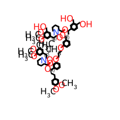 CC[C@H](C(=O)N1CCCCC1C(=O)O[C@H](CCc1ccc(OC)c(OC)c1)c1cccc(OCCCOc2cccc([C@@H](CCc3ccc(CO)c(CO)c3)OC(=O)C3CCCCN3C(=O)[C@@H](CC)c3cc(CO)c(OC)c(OC)c3)c2)c1)c1cc(C)c(OC)c(OC)c1